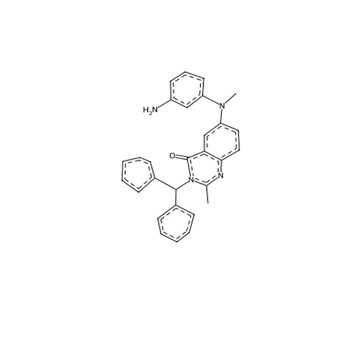 Cc1nc2ccc(N(C)c3cccc(N)c3)cc2c(=O)n1C(c1ccccc1)c1ccccc1